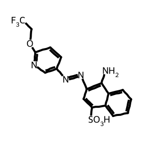 Nc1c(N=Nc2ccc(OCC(F)(F)F)nc2)cc(S(=O)(=O)O)c2ccccc12